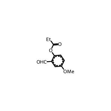 [CH2]CC(=O)Oc1ccc(OC)cc1C=O